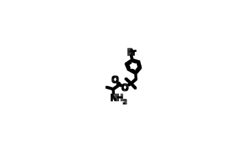 CC(N)C(=O)OC(C)(C)Cc1ccc(Br)cc1